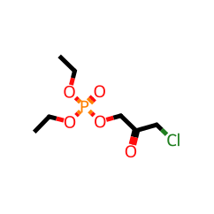 CCOP(=O)(OCC)OCC(=O)CCl